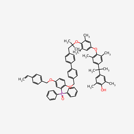 C=Cc1ccc(COc2ccc(OCc3ccc(-c4ccc(CC(C)(C)Oc5c(C)cc(Oc6c(C)cc(C(C)(C)c7cc(C)c(O)c(C)c7)cc6C)cc5C)cc4)cc3)c(P(=O)(c3ccccc3)c3ccccc3)c2)cc1